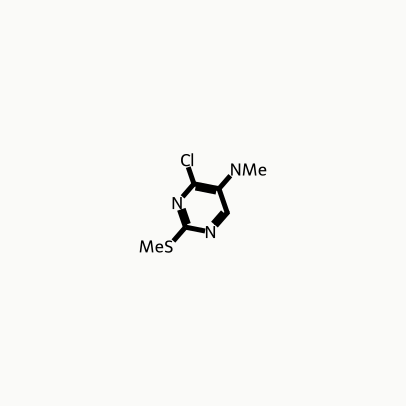 CNc1cnc(SC)nc1Cl